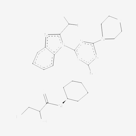 O=C(N[C@H]1CC[C@H](Nc2nc(N3CCOCC3)nc(-n3c(C(F)F)nc4ccccc43)n2)CC1)C(O)CO